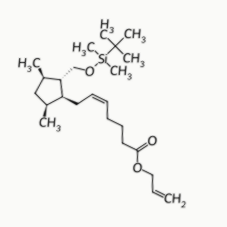 C=CCOC(=O)CCC/C=C\C[C@@H]1[C@@H](CO[Si](C)(C)C(C)(C)C)[C@H](C)C[C@@H]1C